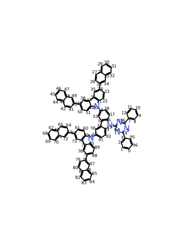 c1ccc(-c2nc(-c3ccccc3)nc(-n3c4ccc(-n5c6ccc(-c7ccc8ccccc8c7)cc6c6cc(-c7ccc8ccccc8c7)ccc65)cc4c4cc(-n5c6ccc(-c7ccc8ccccc8c7)cc6c6cc(-c7ccc8ccccc8c7)ccc65)ccc43)n2)cc1